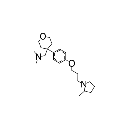 CC1CCCN1CCCOc1ccc(C2(CN(C)C)CCOCC2)cc1